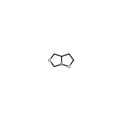 C1CC2COCN2O1